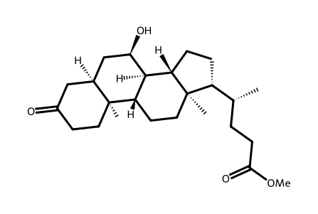 COC(=O)CC[C@@H](C)[C@H]1CC[C@H]2[C@@H]3[C@H](O)C[C@@H]4CC(=O)CC[C@]4(C)[C@H]3CC[C@]12C